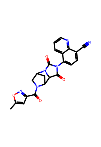 Cc1cc(C(=O)N2CC3CC2C2C(=O)N(c4ccc(C#N)c5ncccc45)C(=O)N32)no1